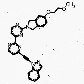 COCCOc1ccc2c(c1)CN(c1nccc(-c3nccc(C#Cn4ncc5ccccc54)n3)n1)C2